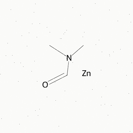 CN(C)C=O.[Zn]